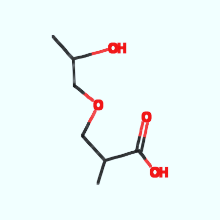 CC(O)COCC(C)C(=O)O